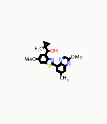 COc1cc(C(O)C2(C(F)(F)F)CC2)c2nc(-c3cc(C)cc4nc(OC)cnc34)sc2c1